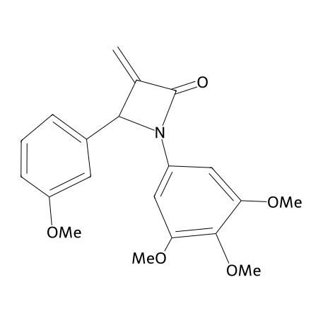 C=C1C(=O)N(c2cc(OC)c(OC)c(OC)c2)C1c1cccc(OC)c1